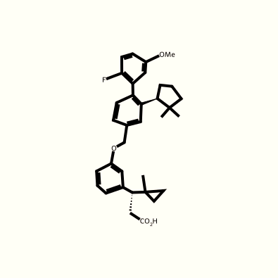 COc1ccc(F)c(-c2ccc(COc3cccc([C@@H](CC(=O)O)C4(C)CC4)c3)cc2[C@H]2CCCC2(C)C)c1